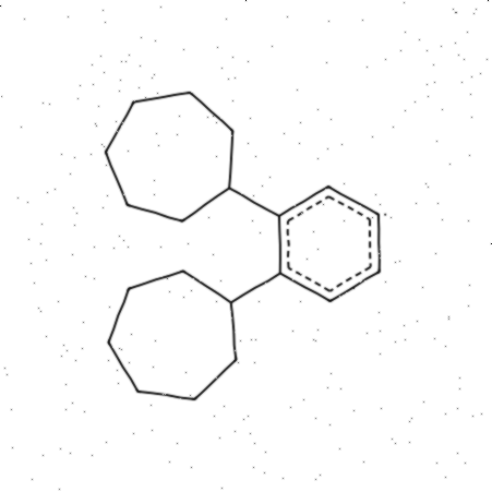 [c]1ccc(C2CCCCCC2)c(C2CCCCCC2)c1